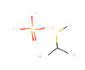 CC(C)[S][Zn].O=P(O)(O)O